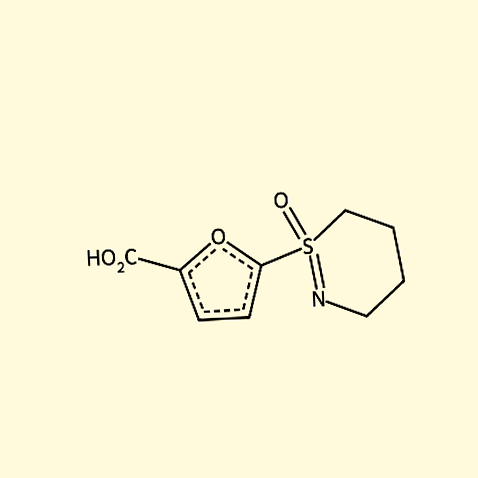 O=C(O)c1ccc(S2(=O)=NCCCC2)o1